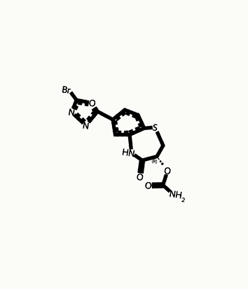 NC(=O)O[C@H]1CSc2ccc(-c3nnc(Br)o3)cc2NC1=O